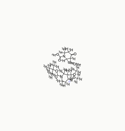 [2H]C([2H])([2H])O/N=C1/C([2H])([2H])C([2H])([2H])N(C(=O)OC(C([2H])([2H])[2H])(C([2H])([2H])[2H])C([2H])([2H])[2H])C([2H])([2H])C1([2H])C([2H])([2H])OC([2H])([2H])[2H].[2H]OC(=O)N1C([2H])([2H])C([2H])([2H])C(=O)C([2H])(COC)C1([2H])C(C)(C)C